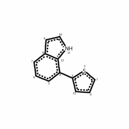 c1csc(-c2cccc3cc[nH]c23)c1